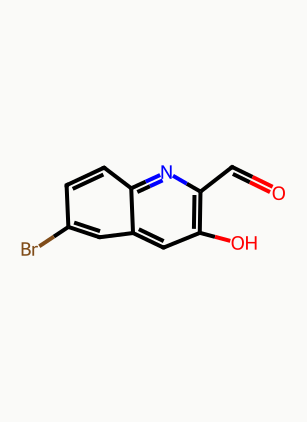 O=Cc1nc2ccc(Br)cc2cc1O